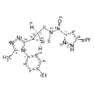 CCc1ccc(-n2c(C)nnc2C2[C@H]3CN(C(=O)c4cc(C(C)C)[nH]n4)C[C@@H]23)cc1